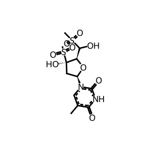 Cc1cn([C@H]2C[C@@](O)(S(C)(=O)=O)[C@@H](C(O)S(C)(=O)=O)O2)c(=O)[nH]c1=O